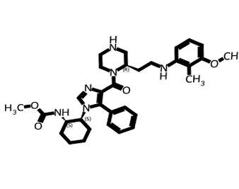 COC(=O)N[C@H]1CCCC[C@@H]1n1cnc(C(=O)N2CCNC[C@H]2CCNc2cccc(OC)c2C)c1-c1ccccc1